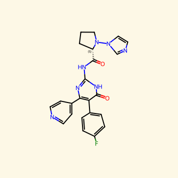 O=C(Nc1nc(-c2ccncc2)c(-c2ccc(F)cc2)c(=O)[nH]1)[C@@H]1CCCN1n1ccnc1